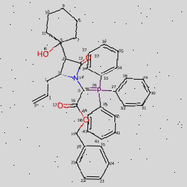 C=CCC1C(C2(O)CCCCC2)C(=O)N1C(C(=O)OCc1ccccc1)=P(c1ccccc1)(c1ccccc1)c1ccccc1